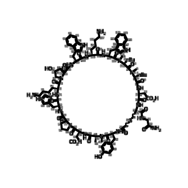 CCCC[C@H]1C(=O)N(C)[C@@H](CCCC)C(=O)N[C@@H](CC(=O)O)C(=O)N[C@H](C(=O)NCC(N)=O)CSCC(=O)N[C@@H](Cc2ccc(O)cc2)C(=O)N(C)[C@@H](C)C(=O)N[C@@H](CC(=O)O)C(=O)N2CCC[C@H]2C(=O)N[C@@H](Cc2c[nH]cn2)C(=O)N[C@@H](CCCCN)C(=O)N2C[C@H](O)C[C@H]2C(=O)N[C@@H](Cc2c[nH]c3ccccc23)C(=O)N[C@@H](CCCCN)C(=O)N[C@@H](Cc2c[nH]c3ccccc23)C(=O)N1C